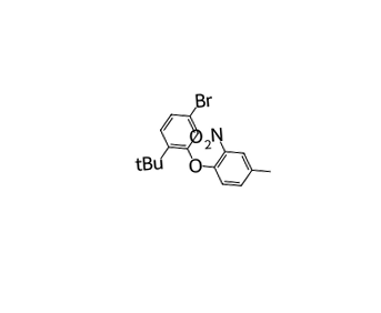 Cc1ccc(Oc2cc(Br)ccc2C(C)(C)C)c([N+](=O)[O-])c1